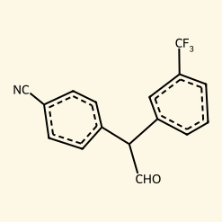 N#Cc1ccc(C(C=O)c2cccc(C(F)(F)F)c2)cc1